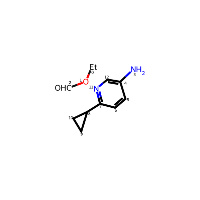 CCOC=O.Nc1ccc(C2CC2)nc1